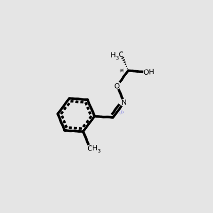 Cc1ccccc1/C=N\O[C@H](C)O